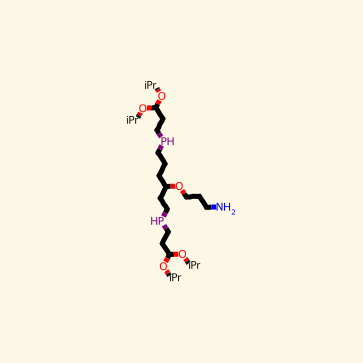 CC(C)OC(CCPCCCC(CCPCCC(OC(C)C)OC(C)C)OCCCN)OC(C)C